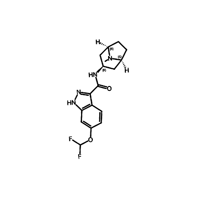 CN1[C@@H]2CC[C@H]1C[C@@H](NC(=O)c1n[nH]c3cc(OC(F)F)ccc13)C2